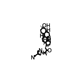 C[C@H](C(=O)C[C@H]1CC[C@H]2[C@@H]3CC[C@@H]4C[C@](C)(O)CC[C@@H]4[C@H]3CC[C@]12C)n1cc(C#N)cn1